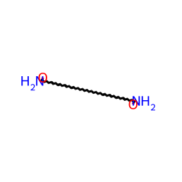 NC(=O)CCCC=CCC=CCC=CCC=CCCCCCCCCCCCCC=CCC=CCC=CCC=CCCCC(N)=O